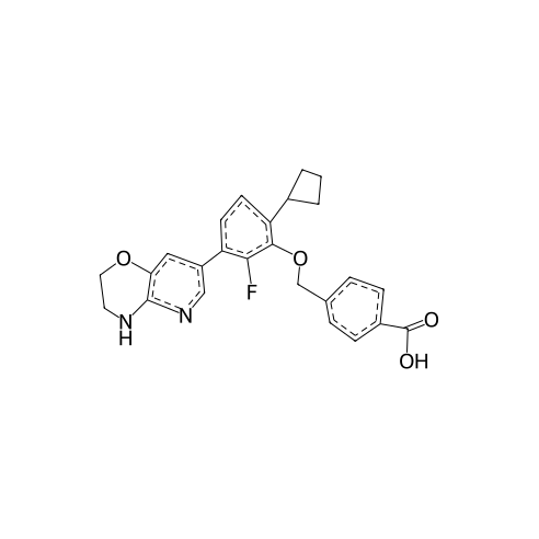 O=C(O)c1ccc(COc2c(C3CCC3)ccc(-c3cnc4c(c3)OCCN4)c2F)cc1